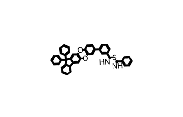 N=C(SC(=N)c1cccc(-c2ccc3c(c2)Oc2cc4c(cc2O3)C(c2ccccc2)(c2ccccc2)c2ccccc2-4)c1)c1ccccc1